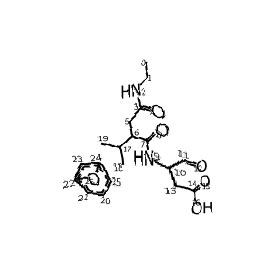 CCNC(=O)CC(C(=O)NC(C=O)CC(=O)O)C(C)C.c1cc2cc(c1)O2